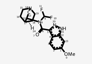 COc1ccc2c(C(=O)N(C(F)F)[C@@H]3CN4CCC3CC4)n[nH]c2c1